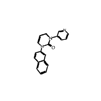 O=C1N(c2ccc3ccccc3c2)C=CCN1c1cccnc1